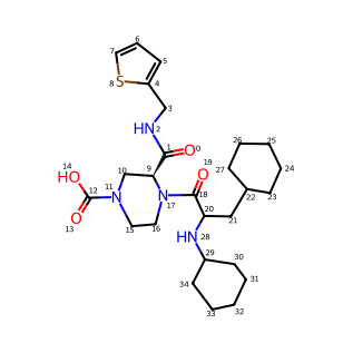 O=C(NCc1cccs1)[C@@H]1CN(C(=O)O)CCN1C(=O)C(CC1CCCCC1)NC1CCCCC1